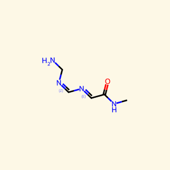 CNC(=O)/C=N/C=N\CN